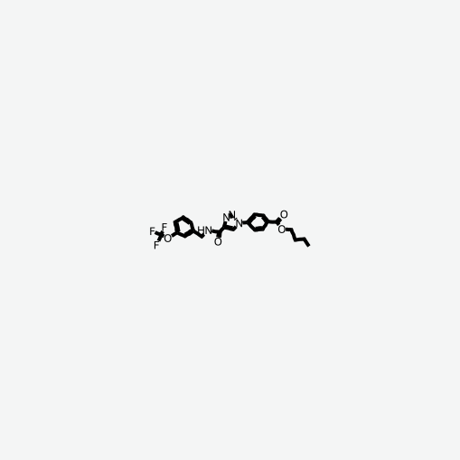 CCCCOC(=O)c1ccc(-n2cc(C(=O)NCc3cccc(OC(F)(F)F)c3)nn2)cc1